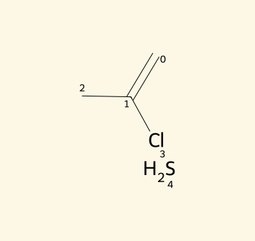 C=C(C)Cl.S